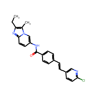 CCc1nc2ccc(NC(=O)c3ccc(/C=C/c4ccc(Cl)nc4)cc3)cn2c1C